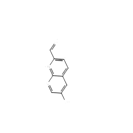 Cc1cnc2nc(C=O)ccc2c1